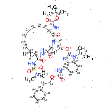 CC(C)n1c(O[C@@H]2C[C@H]3C(=O)N[C@]4(C(=O)NS(=O)(=O)N(C)C)C[C@H]4/C=C\CCCCC[C@H](NC(=O)OC(C)(C)C)C(=O)N3C2)nc2c(NC(=O)OCCc3ccccc3)cccc21